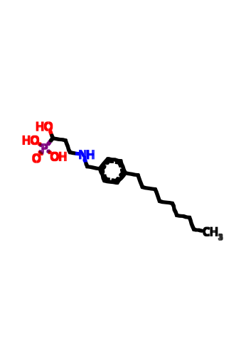 CCCCCCCCCc1ccc(CNCCC(O)P(=O)(O)O)cc1